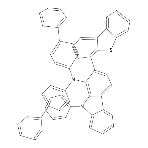 c1ccc(-c2ccc(N(c3ccc(-c4ccccc4)cc3)c3c(-c4cccc5c4sc4ccccc45)ccc4c5ccccc5n(-c5ccccc5)c34)cc2)cc1